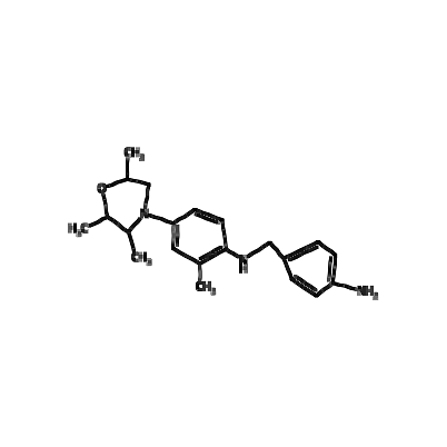 Cc1cc(N2CC(C)OC(C)C2C)ccc1NCc1ccc(N)cc1